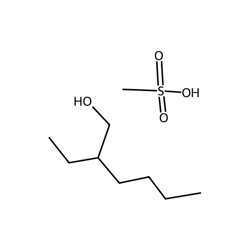 CCCCC(CC)CO.CS(=O)(=O)O